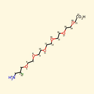 NCC(F)COCCOCCOCCOCCOCCOCC(=O)O